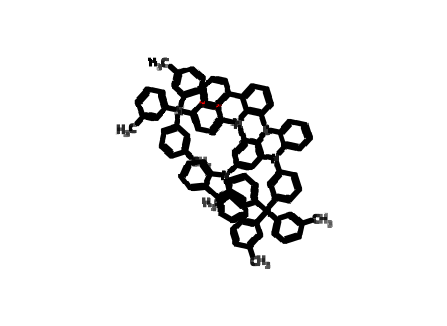 Cc1cccc(C(c2cccc(C)c2)(c2cccc(C)c2)c2cccc(N3c4ccccc4B4c5cccc(-c6ccccc6)c5N(c5ccc([Si](c6cccc(C)c6)(c6cccc(C)c6)c6cccc(C)c6)cc5)c5cc(-n6c7ccccc7c7ccccc76)cc3c54)c2)c1